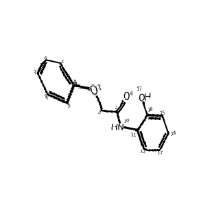 O=C(COc1ccccc1)Nc1ccccc1O